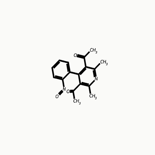 CC(=O)c1c(C)nc(C)c(C(C)=O)c1-c1ccccc1N=O